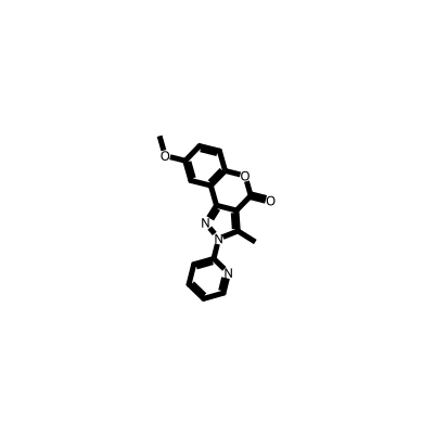 COc1ccc2oc(=O)c3c(C)n(-c4ccccn4)nc3c2c1